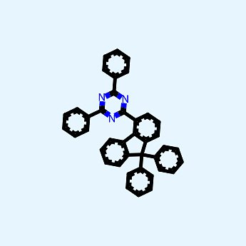 c1ccc(-c2nc(-c3ccccc3)nc(-c3cccc4c3-c3ccccc3C4(c3ccccc3)c3ccccc3)n2)cc1